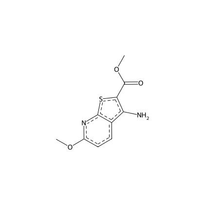 COC(=O)c1sc2nc(OC)ccc2c1N